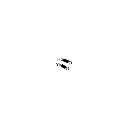 [O]=[Ho].[O]=[Yb]